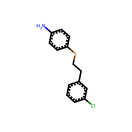 Nc1ccc(SCCc2cccc(Cl)c2)cc1